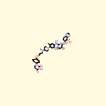 COc1cc(N2CCC(N(C)CCCOc3ccc(N4CCC(=O)NC4=O)cc3)CC2)c(C)cc1Nc1ncc(Br)c(Nc2ccc3nccnc3c2P(C)(C)=O)n1